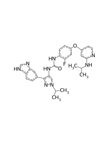 CC(C)Nc1cc(Oc2ccc(NC(=O)Nc3cn(C(C)C)nc3-c3ccc4[nH]cnc4c3)c(F)c2)ccn1